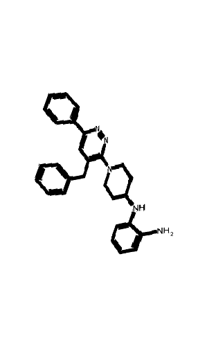 Nc1ccccc1NC1CCN(c2nnc(-c3ccccc3)cc2Cc2ccccc2)CC1